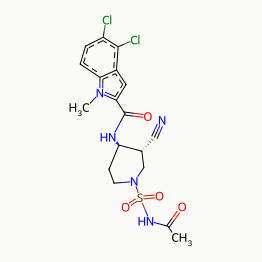 CC(=O)NS(=O)(=O)N1CC[C@@H](NC(=O)c2cc3c(Cl)c(Cl)ccc3n2C)[C@H](C#N)C1